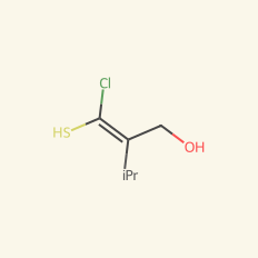 CC(C)/C(CO)=C(\S)Cl